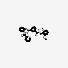 COc1cccc(OC)c1CNC(=O)c1cccc(CSc2ccccc2NC(=O)c2ccccn2)c1